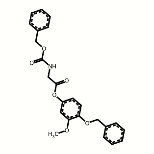 COc1cc(OC(=O)CNC(=O)OCc2ccccc2)ccc1OCc1ccccc1